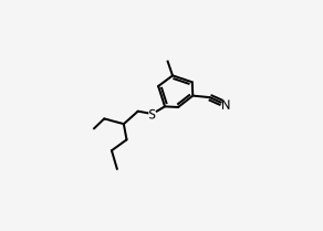 CCCC(CC)CSc1cc(C)cc(C#N)c1